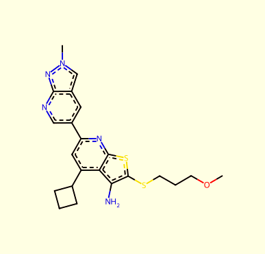 COCCCSc1sc2nc(-c3cnc4nn(C)cc4c3)cc(C3CCC3)c2c1N